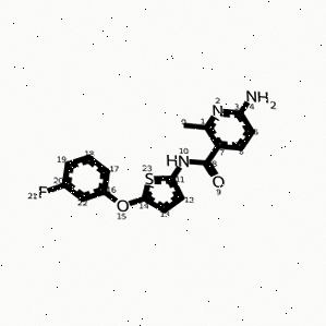 Cc1nc(N)ccc1C(=O)Nc1ccc(Oc2cccc(F)c2)s1